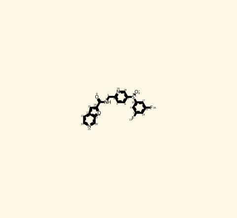 O=C(NCc1ccc([S+]([O-])c2cc(F)cc(F)c2)cn1)c1cc2ccncc2o1